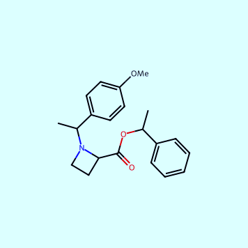 COc1ccc(C(C)N2CCC2C(=O)OC(C)c2ccccc2)cc1